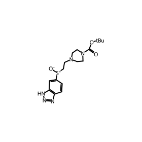 CC(C)(C)OC(=O)N1CCN(CC[S+]([O-])c2ccc3nn[nH]c3c2)CC1